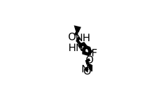 O=C(NCc1cc2cc(F)c(OCc3ccon3)cc2[nH]1)C1CC1